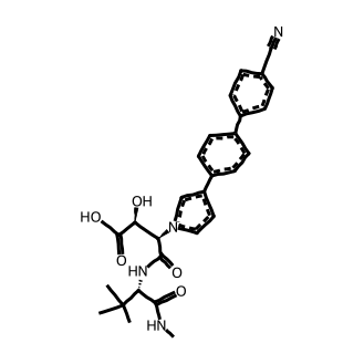 CNC(=O)[C@@H](NC(=O)[C@@H]([C@H](O)C(=O)O)n1ccc(-c2ccc(-c3ccc(C#N)cc3)cc2)c1)C(C)(C)C